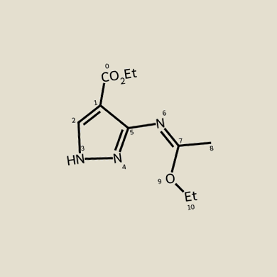 CCOC(=O)c1c[nH]nc1N=C(C)OCC